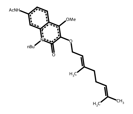 CCCCn1c(=O)c(OC/C=C(\C)CCC=C(C)C)c(OC)c2ccc(NC(C)=O)cc21